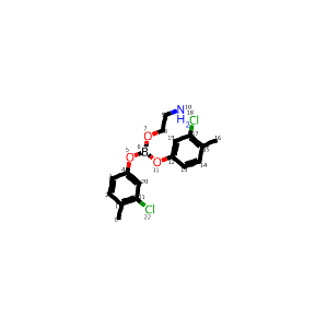 Cc1ccc(OB(OCCN)Oc2ccc(C)c(Cl)c2)cc1Cl